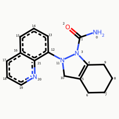 NC(=O)N1C2=C(C[CH]CC2)CN1c1cccc2cccnc12